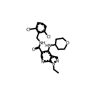 CCn1ncc2c(NC3CCOCC3)c(C(=O)NCc3c(Cl)cccc3Cl)cnc21